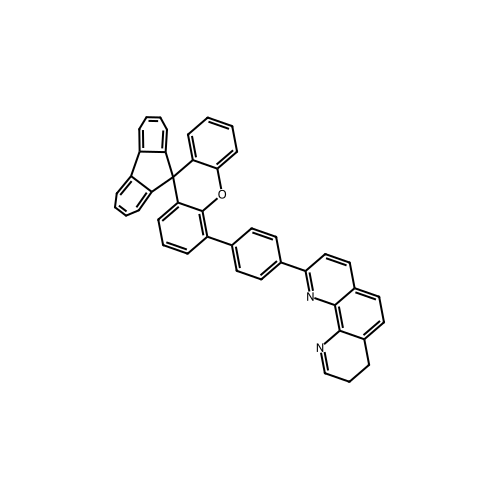 C1=Nc2c(ccc3ccc(-c4ccc(-c5cccc6c5Oc5ccccc5C65c6ccccc6-c6ccccc65)cc4)nc23)CC1